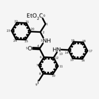 CCOC(=O)CC(NC(=O)c1cc(I)ccc1Nc1ccccc1)c1ccccc1